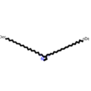 CCCCCCCCCCCCCCCCCCCCCCCCCCCC/C=C/C1=C(/C=C/CCCCCCCCCCCCCCCCCCCCCCCCCCCC)[N]C=C1